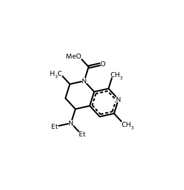 CCN(CC)C1CC(C)N(C(=O)OC)c2c1cc(C)nc2C